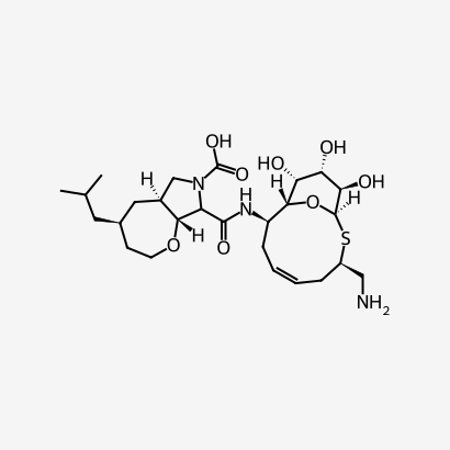 CC(C)C[C@@H]1CCO[C@H]2C(C(=O)N[C@@H]3CC=CC[C@H](CN)S[C@H]4O[C@H]3[C@H](O)[C@H](O)[C@H]4O)N(C(=O)O)C[C@@H]2C1